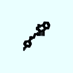 O=C(NCCOc1ccc(F)cc1)Nc1ccccc1Br